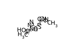 Cc1cc2n(n1)CCO[C@@H]2c1csc(C(=O)c2cncnc2N[C@@H]2C[C@@H](C)[C@H](O)C2)c1